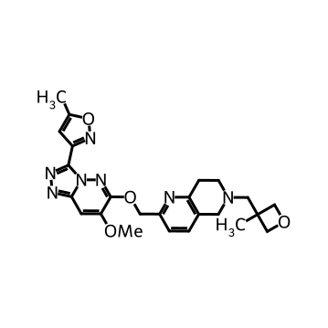 COc1cc2nnc(-c3cc(C)on3)n2nc1OCc1ccc2c(n1)CCN(CC1(C)COC1)C2